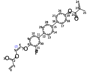 C=CC(=O)O/C=C\Oc1ccc(-c2ccc(-c3ccc(OC(=O)C(=C)C)cc3)cc2)cc1F